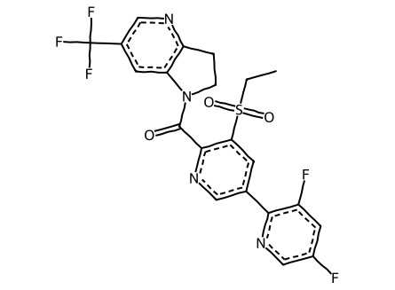 CCS(=O)(=O)c1cc(-c2ncc(F)cc2F)cnc1C(=O)N1CCc2ncc(C(F)(F)F)cc21